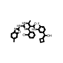 CC1=C(C(=O)Nc2cc(C(O)=C3CCC3)ccc2F)C(c2ccccc2Cl)N=C(Nc2nc3ccc(C)cc3o2)N1